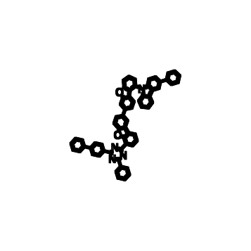 c1ccc(-c2ccc(-c3nc(-c4ccccc4)nc(-c4cccc5c4oc4ccc(-c6ccc7c(c6)oc6cccc(-n8c9ccccc9c9cc(-c%10ccccc%10)ccc98)c67)cc45)n3)cc2)cc1